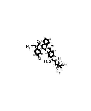 CCN(C(=O)[C@H]1C[C@H](C)N(C(=O)c2ccc(N(C)CCC(C)(C)C(=O)O)cc2)c2ccccc21)c1ccc(Cl)cc1